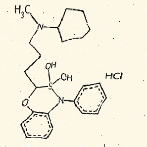 CN(CCCC1Oc2ccccc2N(c2ccccc2)S1(O)O)C1CCCCC1.Cl